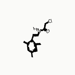 Cc1cc(C)c(C=CNC(=O)CCl)c(C)c1